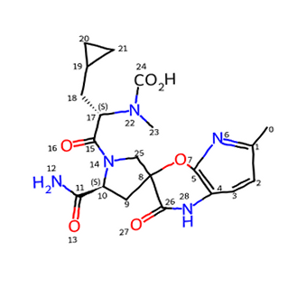 Cc1ccc2c(n1)OC1(C[C@@H](C(N)=O)N(C(=O)[C@H](CC3CC3)N(C)C(=O)O)C1)C(=O)N2